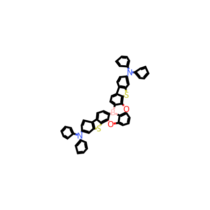 c1ccc(N(c2ccccc2)c2ccc3c(c2)sc2c4c(ccc23)B2c3ccc5c(sc6cc(N(c7ccccc7)c7ccccc7)ccc65)c3Oc3cccc(c32)O4)cc1